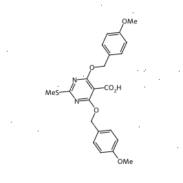 COc1ccc(COc2nc(SC)nc(OCc3ccc(OC)cc3)c2C(=O)O)cc1